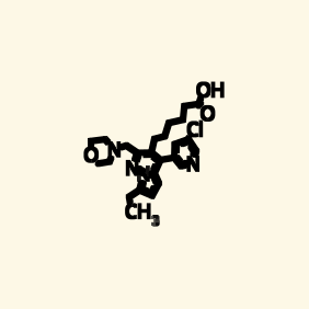 CCc1ccc2c(-c3cncc(Cl)c3)c(CCCCCC(=O)O)c(CN3CCOCC3)nn12